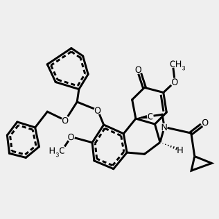 COC1=CC2[C@@H]3Cc4ccc(OC)c(OC(OCc5ccccc5)c5ccccc5)c4[C@]2(CCN3C(=O)C2CC2)CC1=O